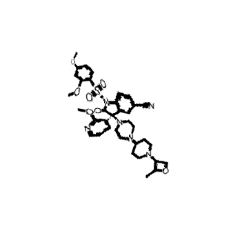 COc1ccc(S(=O)(=O)N2C(=O)[C@](c3cccnc3OC)(N3CCN(C4CCN(C5COC5C)CC4)CC3)c3cc(C#N)ccc32)c(OC)c1